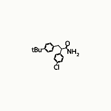 CC(C)(C)c1ccc(CC(C(N)=O)c2ccc(Cl)cc2)cc1